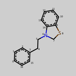 c1ccc(CCN2CSc3ccccc32)cc1